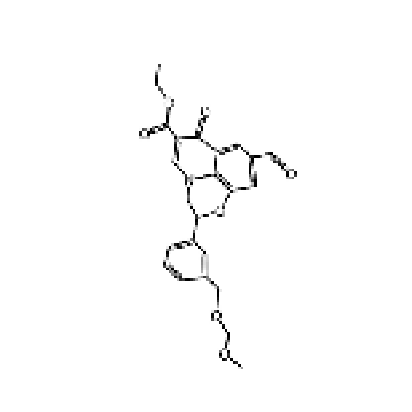 CCOC(=O)c1cn2c3c(cc(C=O)cc3c1=O)OC(c1cccc(COCOC)c1)C2